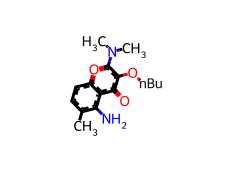 CCCCOc1c(N(C)C)oc2ccc(C)c(N)c2c1=O